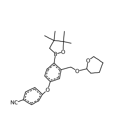 CC1(C)CB(c2ccc(Oc3ccc(C#N)cc3)cc2COC2CCCCO2)OC1(C)C